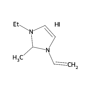 C=CN1C=CN(CC)C1C.I